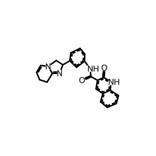 O=C(Nc1cccc(C2CN3C=CCCC3=N2)c1)c1cc2ccccc2[nH]c1=O